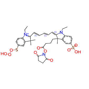 CCN1/C(=C/C=C/C=C/C2=[N+](CC)c3ccc(SOOO)cc3C2(C)C)C(C)(CCCC(=O)ON2C(=O)CCC2=O)c2cc(S(=O)(=O)O)ccc21